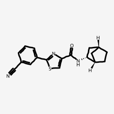 N#Cc1cccc(-c2nc(C(=O)N[C@@H]3C[C@@H]4CC[C@H]3C4)cs2)c1